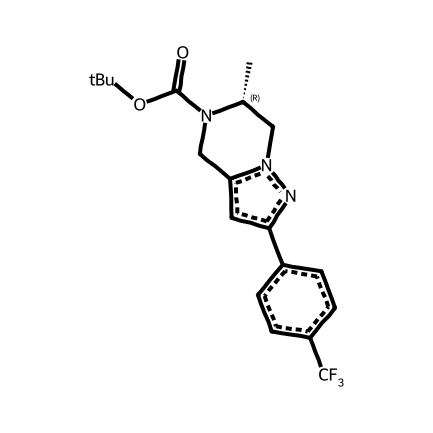 C[C@@H]1Cn2nc(-c3ccc(C(F)(F)F)cc3)cc2CN1C(=O)OC(C)(C)C